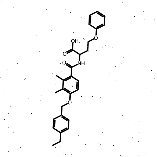 CCc1ccc(COc2ccc(C(=O)NC(CCOc3ccccc3)C(=O)O)c(C)c2C)cc1